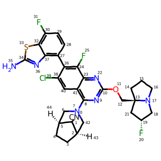 N#CC1[C@@H]2CC[C@H]1CN(c1nc(OC[C@@]34CCCN3C[C@H](F)C4)nc3c(F)c(-c4ccc(F)c5sc(N)nc45)c(Cl)cc13)C2